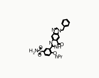 CCCOc1ccc(S(N)(=O)=O)cc1-c1nc2cc3ncn(Cc4ccccc4)c3cc2c(=O)[nH]1